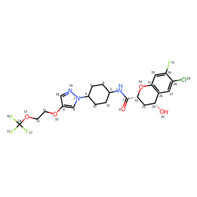 O=C(NC1CCC(n2cc(OCCOC(F)(F)F)cn2)CC1)[C@H]1C[C@@H](O)c2cc(Cl)c(F)cc2O1